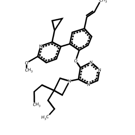 C/C=C/c1ccc(Oc2nncnc2N2CC(CCC)(CCC)C2)c(-c2ccc(OC)nc2C2CC2)c1